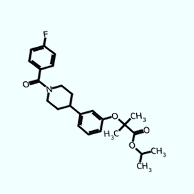 CC(C)OC(=O)C(C)(C)Oc1cccc(C2CCN(C(=O)c3ccc(F)cc3)CC2)c1